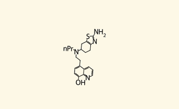 CCCN(CCc1ccc(O)c2ncccc12)C1CCc2nc(N)sc2C1